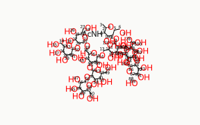 CC(=O)N[C@@H]1C(C)OC(CO)[C@@H](OC2OC(COC3OC(COC4OC(CO)[C@@H](O)[C@H](O)[C@H]4OC4OC(CO)[C@@H](O)[C@H](O)[C@H]4O)[C@@H](O)[C@H](OC4O[C@@H](CO)[C@@H](O)C(O)C4OC4O[C@@H](CO)[C@@H](O)C(O)C4O)[C@H]3O)[C@@H](O)[C@H](OC3O[C@@H](CO)[C@@H](O)C(O)C3OC3O[C@@H](CO)[C@@H](O)C(O)C3OC3O[C@@H](CO)[C@@H](O)C(O)C3O)[C@H]2O)[C@@H]1O